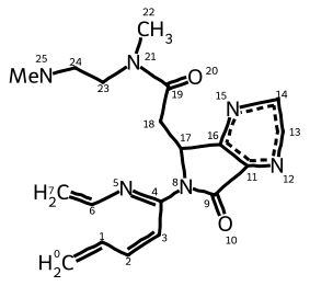 C=C/C=C\C(=N/C=C)N1C(=O)c2nccnc2C1CC(=O)N(C)CCNC